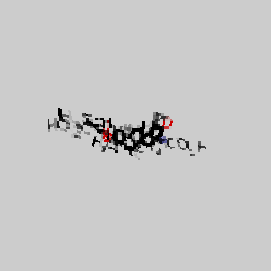 CC(C)C1=C2[C@H]3CC[C@@H]4[C@@]5(C)CC[C@H](OC(=O)CC(C)(C)C(=O)O)C(C)(C)C5CC[C@@]4(C)[C@]3(C)CC[C@@]2(/C=C/C(=O)O)CC1=O